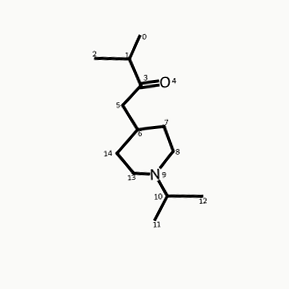 CC(C)C(=O)CC1CCN(C(C)C)CC1